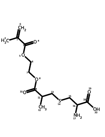 C=C(C)C(=O)OCCOC(=O)C(C)CSCC(N)C(=O)O